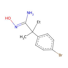 CCC(C)(/C(N)=N/O)c1ccc(Br)cc1